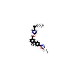 Cc1nnc(-c2ccc(-c3cc(COc4cnc([C@@H]5C[C@H]5C(=O)O)cn4)ccc3C(F)(F)F)cc2)o1